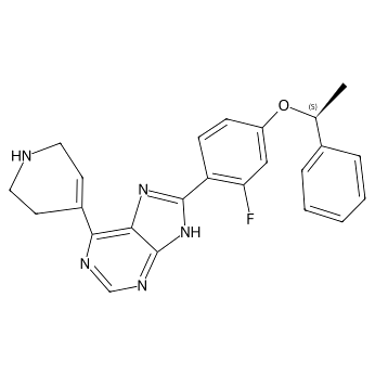 C[C@H](Oc1ccc(-c2nc3c(C4=CCNCC4)ncnc3[nH]2)c(F)c1)c1ccccc1